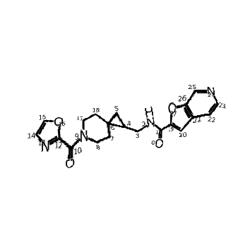 O=C(NCC1CC12CCN(C(=O)c1ncco1)CC2)c1cc2ccncc2o1